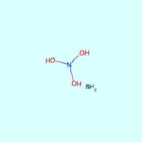 B.ON(O)O